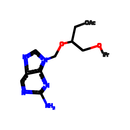 CC(=O)OCC(COC(C)C)OCn1cnc2cnc(N)nc21